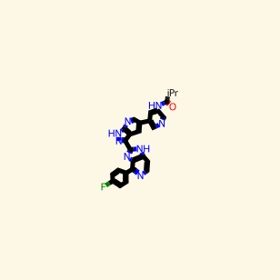 CC(C)C(=O)Nc1cncc(-c2cnc3[nH]nc(-c4nc5c(-c6ccc(F)cc6)nccc5[nH]4)c3c2)c1